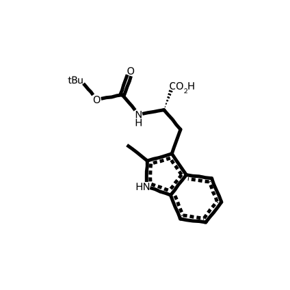 Cc1[nH]c2ccccc2c1C[C@H](NC(=O)OC(C)(C)C)C(=O)O